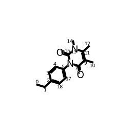 CCc1ccc(-n2c(=O)c(C)c(C)n(C)c2=O)cc1